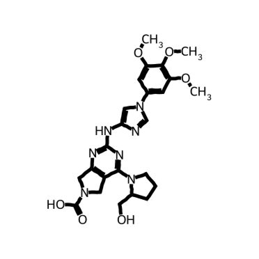 COc1cc(-n2cnc(Nc3nc4c(c(N5CCCC5CO)n3)CN(C(=O)O)C4)c2)cc(OC)c1OC